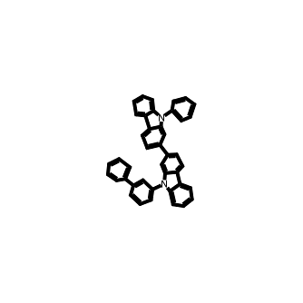 c1ccc(-c2cccc(-n3c4ccccc4c4ccc(-c5ccc6c7ccccc7n(-c7ccccc7)c6c5)cc43)c2)cc1